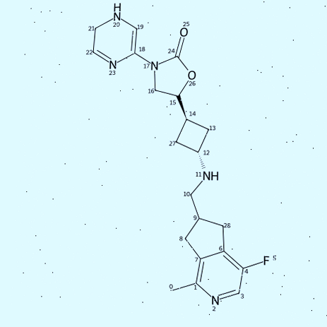 Cc1ncc(F)c2c1CC(CN[C@H]1C[C@H](C3CN(C4=CNCC=N4)C(=O)O3)C1)C2